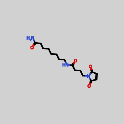 NC(=O)CCCCCCCNC(=O)CCCN1C(=O)C=CC1=O